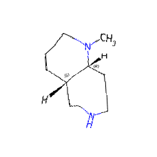 CN1CCC[C@H]2CNCC[C@H]21